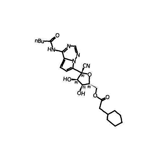 CCCCC(=O)Nc1ncnn2c([C@]3(C#N)O[C@H](COC(=O)CC4CCCCC4)[C@@H](O)[C@H]3O)ccc12